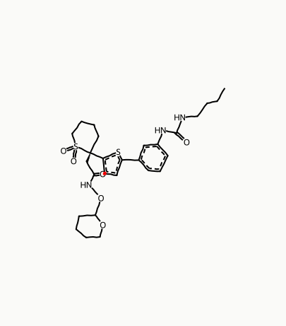 CCCCNC(=O)Nc1cccc(-c2ccc([C@@]3(CC(=O)NOC4CCCCO4)CCCCS3(=O)=O)s2)c1